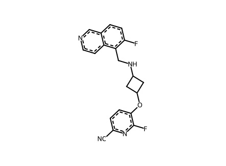 N#Cc1ccc(OC2CC(NCc3c(F)ccc4cnccc34)C2)c(F)n1